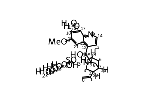 C=C[C@H]1CN2CC[C@H]1C[C@H]2[C@H](O)c1ccnc2ccc(OC)cc12.O.O.O.O.O.O.O.O=S(=O)(O)O